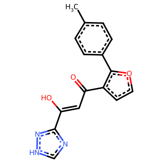 Cc1ccc(-c2occc2C(=O)C=C(O)c2nc[nH]n2)cc1